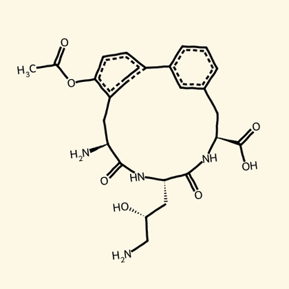 CC(=O)Oc1ccc2cc1C[C@H](N)C(=O)N[C@@H](C[C@@H](O)CN)C(=O)N[C@H](C(=O)O)Cc1cccc-2c1